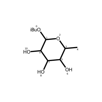 CC(C)COC1OC(C)C(O)C(O)C1O